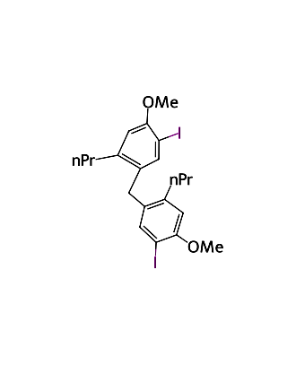 CCCc1cc(OC)c(I)cc1Cc1cc(I)c(OC)cc1CCC